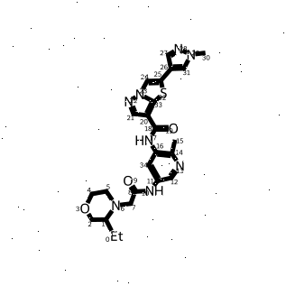 CCC1COCCN1CC(=O)Nc1cnc(C)c(NC(=O)c2cnn3cc(-c4cnn(C)c4)sc23)c1